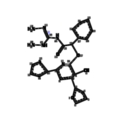 N#Cc1c(-c2ccco2)cc(-c2cccs2)nc1OC(C(=O)N/C(=N/N)NN)c1ccccc1